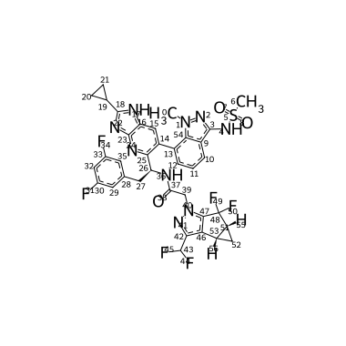 Cn1nc(NS(C)(=O)=O)c2cccc(-c3cc4[nH]c(C5CC5)nc4nc3[C@H](Cc3cc(F)cc(F)c3)NC(=O)Cn3nc(C(F)F)c4c3C(F)(F)[C@@H]3C[C@H]43)c21